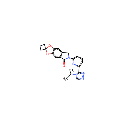 CC(C)n1cnnc1-c1cccc(N2Cc3cc4c(cc3C2=O)OC2(CCC2)O4)n1